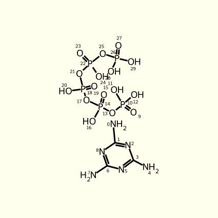 Nc1nc(N)nc(N)n1.O=P(O)(O)OP(=O)(O)OP(=O)(O)OP(=O)(O)OP(=O)(O)O